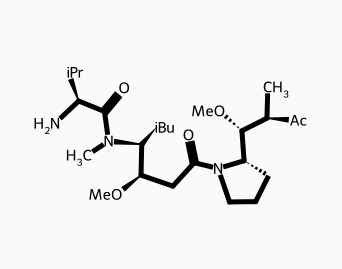 CC[C@H](C)[C@@H]([C@@H](CC(=O)N1CCC[C@H]1[C@H](OC)[C@@H](C)C(C)=O)OC)N(C)C(=O)[C@@H](N)C(C)C